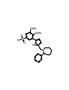 CCS(=O)(=O)c1cc(OC)c(OC)c(-c2ccc(CN3CCCCCC3c3ccccc3)[nH]2)c1